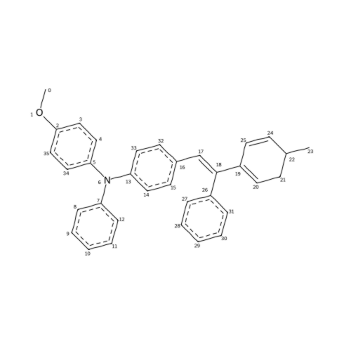 COc1ccc(N(c2ccccc2)c2ccc(/C=C(/C3=CCC(C)C=C3)c3ccccc3)cc2)cc1